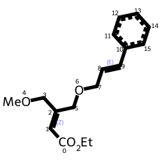 CCOC(=O)/C=C(/COC)COC/C=C/c1ccccc1